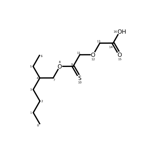 CCCCC(CC)COC(=S)COCC(=O)O